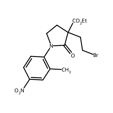 CCOC(=O)C1(CCBr)CCN(c2ccc([N+](=O)[O-])cc2C)C1=O